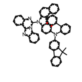 CC1(C)c2ccccc2-c2ccc(N(c3ccc4c(c3)c3c5ccccc5ccc3n4-c3nc4ccccc4c4nc5ccccc5n34)c3ccccc3-c3ccccc3)cc21